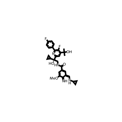 COC1=CC(C(=O)NC[C@](O)(c2cc(C(C)(C)O)c(F)c(-c3ccc(F)cc3)n2)C2CC2)=C/C(=C/NC2CC2)C1=N